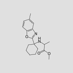 COC(=O)C(C)NC1(c2nc3cc(C)ccc3o2)CCCCC1